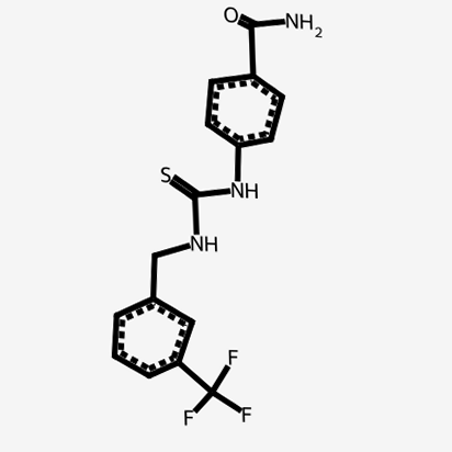 NC(=O)c1ccc(NC(=S)NCc2cccc(C(F)(F)F)c2)cc1